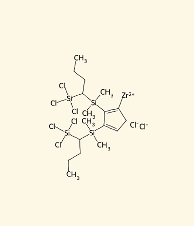 CCCC([Si](Cl)(Cl)Cl)[Si](C)(C)C1=CC[C]([Zr+2])=C1[Si](C)(C)C(CCC)[Si](Cl)(Cl)Cl.[Cl-].[Cl-]